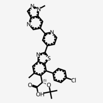 Cc1cc2nc(-c3ccnc(-c4cnc5cnn(C)c5c4)c3)sc2c(-c2ccc(Cl)cc2)c1[C@H](OC(C)(C)C)C(=O)O